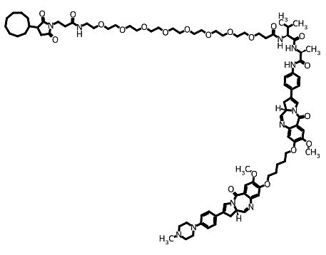 COc1cc2c(cc1OCCCCCOc1cc3c(cc1OC)C(=O)N1C=C(c4ccc(N5CCN(C)CC5)cc4)C[C@H]1C=N3)N=C[C@@H]1CC(c3ccc(NC(=O)[C@H](C)NC(=O)[C@@H](NC(=O)CCOCCOCCOCCOCCOCCOCCOCCOCCNC(=O)CCN4C(=O)CC(C5CCCCCCCC5)C4=O)C(C)C)cc3)=CN1C2=O